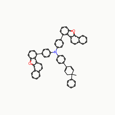 CC1(c2ccccc2)C=CC(c2ccc(N(c3ccc(-c4cccc5oc6c7ccccc7ccc6c45)cc3)c3ccc(-c4cccc5oc6c7ccccc7ccc6c45)cc3)cc2)=CC1